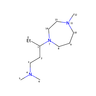 CCC(CCN(C)C)N1CCCN(C)CC1